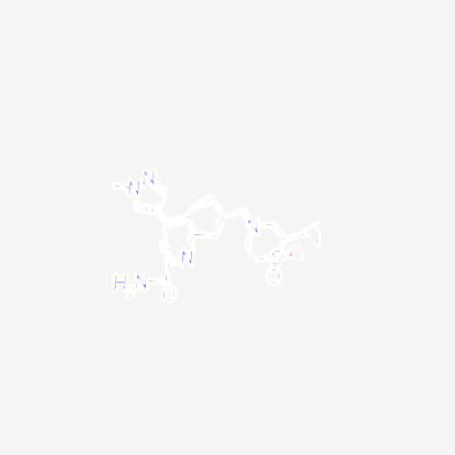 Cn1cc(-c2cc(C(N)=O)nc3cc(CN4CCS(=O)(=O)C(C5CC5)C4)ccc23)cn1